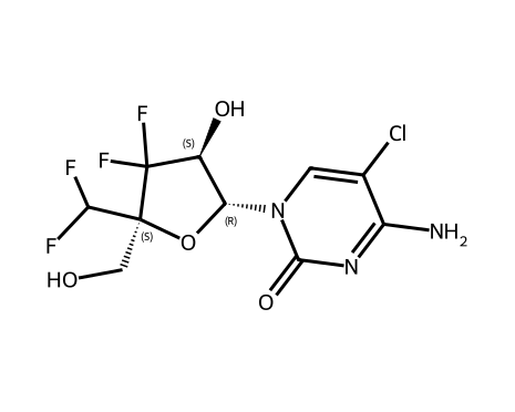 Nc1nc(=O)n([C@@H]2O[C@@](CO)(C(F)F)C(F)(F)[C@H]2O)cc1Cl